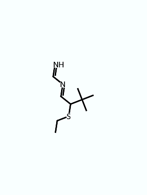 CCSC(C=NC=N)C(C)(C)C